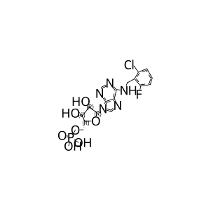 O=P(O)(O)OC[C@H]1O[C@@H](n2cnc3c(NCc4c(F)cccc4Cl)ncnc32)[C@H](O)[C@@H]1O